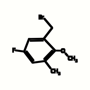 COc1c(C)cc(F)cc1CBr